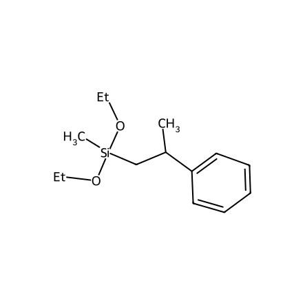 CCO[Si](C)(CC(C)c1ccccc1)OCC